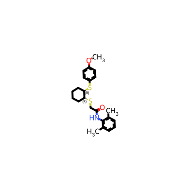 COc1ccc(S[C@@H]2CCCC[C@H]2SCC(=O)Nc2c(C)cccc2C)cc1